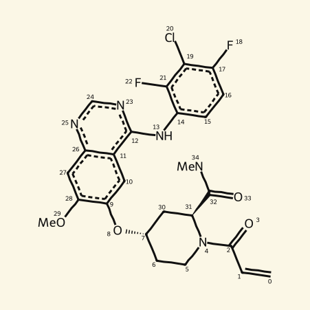 C=CC(=O)N1CC[C@H](Oc2cc3c(Nc4ccc(F)c(Cl)c4F)ncnc3cc2OC)C[C@H]1C(=O)NC